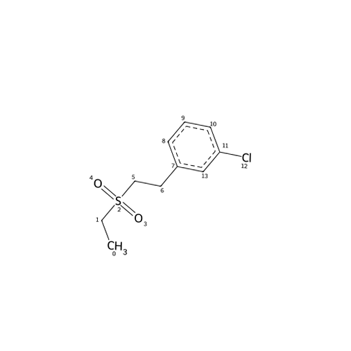 CCS(=O)(=O)CCc1cccc(Cl)c1